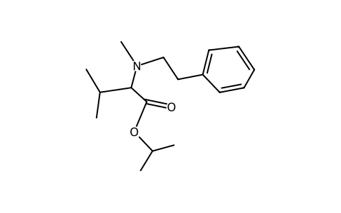 CC(C)OC(=O)C(C(C)C)N(C)CCc1ccccc1